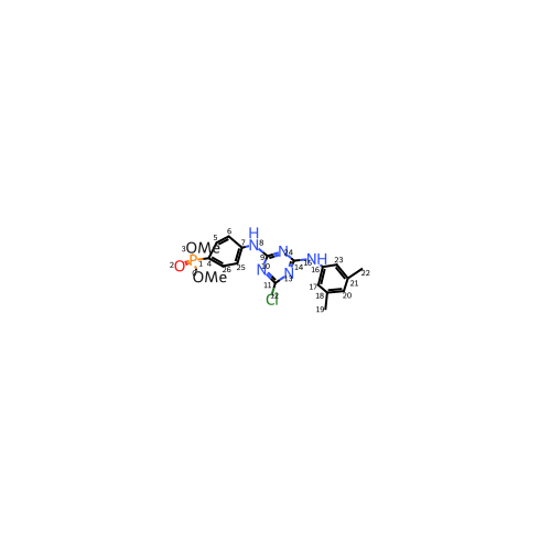 COP(=O)(OC)c1ccc(Nc2nc(Cl)nc(Nc3cc(C)cc(C)c3)n2)cc1